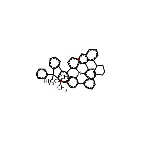 CC(C)(C)c1ccc(-c2ccccc2)c(N(c2ccccc2-c2cccc3c2-c2ccccc2C3(C)c2ccccc2)c2ccccc2-c2cccc3cccc(C4CCCCC4)c23)c1